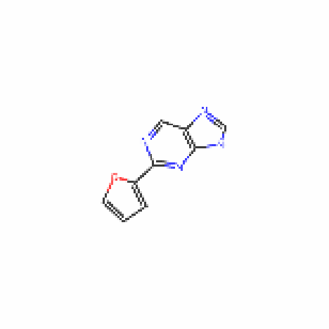 C1=Nc2cnc(-c3ccco3)nc2[N]1